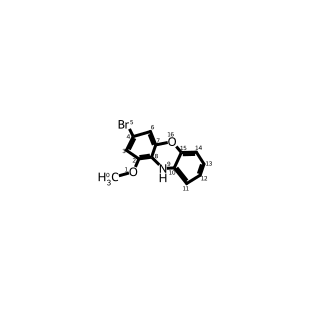 COc1cc(Br)cc2c1Nc1ccccc1O2